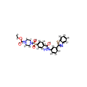 CCOC(=O)N1CCN(S(=O)(=O)c2ccc(C(=O)Nc3cccc(-c4nc5ccccc5s4)c3)cc2)CC1